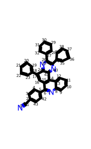 N#Cc1ccc(-c2nc3ccccc3c3c2cc(-c2ccccc2)c2nc(-c4ccccc4)c(-c4ccccc4)nc23)cc1